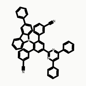 N#Cc1cccc(-c2cc(-c3nc(-c4ccccc4)cc(-c4ccccc4)n3)cc(-c3cccc(C#N)c3)c2-n2c3ccccc3c3cc(-c4ccccc4)ccc32)c1